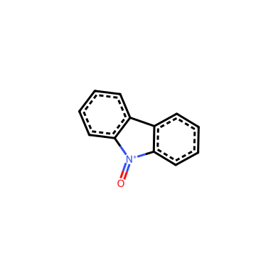 O=[N+]1c2ccccc2-c2ccccc21